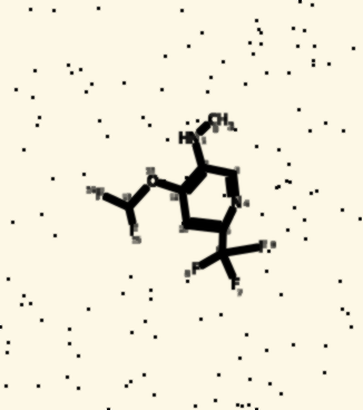 CNc1cnc(C(F)(F)F)cc1OC(F)F